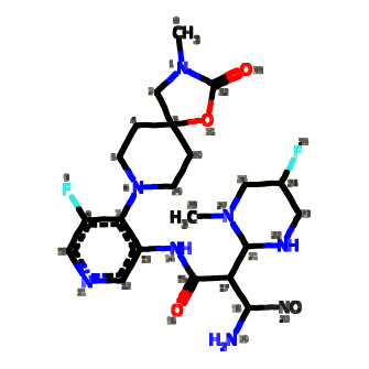 CN1CC2(CCN(c3c(F)cncc3NC(=O)C(C(N)N=O)C3NCC(F)CN3C)CC2)OC1=O